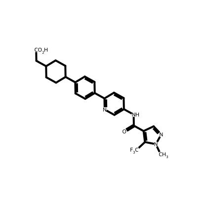 Cn1ncc(C(=O)Nc2ccc(-c3ccc(C4CCC(CC(=O)O)CC4)cc3)nc2)c1C(F)(F)F